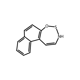 c1ccc2c(c1)ccc1os[nH]ccc12